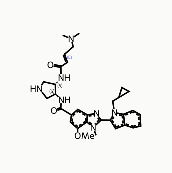 COc1cc(C(=O)N[C@H]2CNC[C@@H]2NC(=O)/C=C/CN(C)C)cc2nc(-c3cc4ccccc4n3CC3CC3)n(C)c12